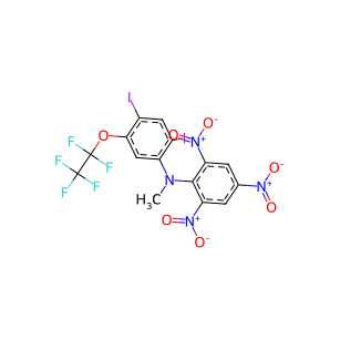 CN(c1cc(OC(F)(F)C(F)(F)F)c(I)cc1I)c1c([N+](=O)[O-])cc([N+](=O)[O-])cc1[N+](=O)[O-]